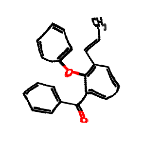 CC=Cc1cccc(C(=O)c2ccccc2)c1Oc1ccccc1